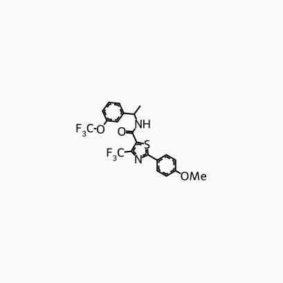 COc1ccc(-c2nc(C(F)(F)F)c(C(=O)NC(C)c3cccc(OC(F)(F)F)c3)s2)cc1